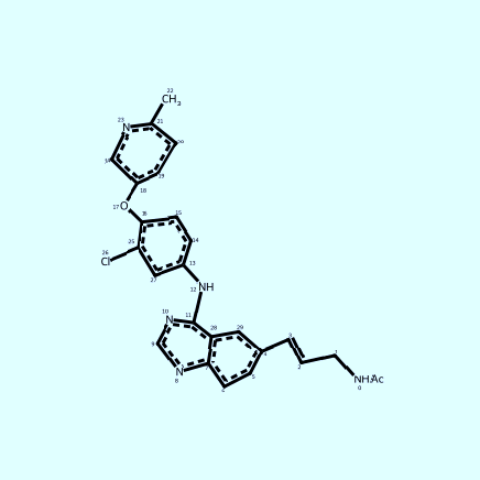 CC(=O)NCC=Cc1ccc2ncnc(Nc3ccc(Oc4ccc(C)nc4)c(Cl)c3)c2c1